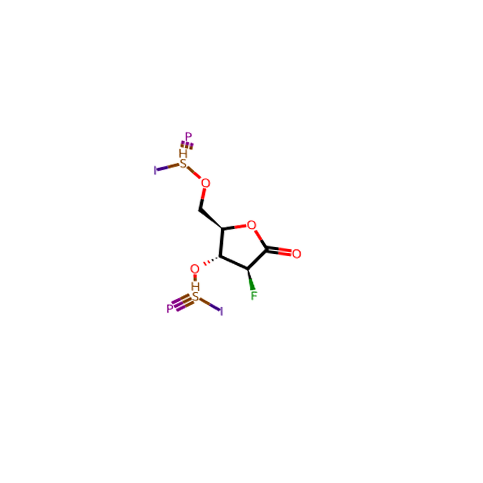 O=C1O[C@H](CO[SH](#P)I)[C@@H](O[SH](#P)I)[C@@H]1F